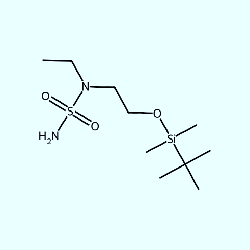 CCN(CCO[Si](C)(C)C(C)(C)C)S(N)(=O)=O